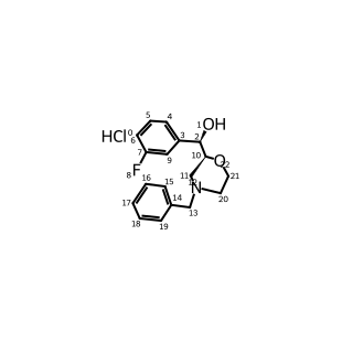 Cl.O[C@H](c1cccc(F)c1)[C@@H]1CN(Cc2ccccc2)CCO1